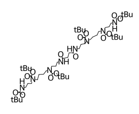 CC(C)(C)OC(=O)NCCCN(CCCCN(CCCNC(=O)CCC(=O)NCCCN(CCCCN(CCCNC(=O)OC(C)(C)C)C(=O)OC(C)(C)C)C(=O)OC(C)(C)C)C(=O)OC(C)(C)C)C(=O)OC(C)(C)C